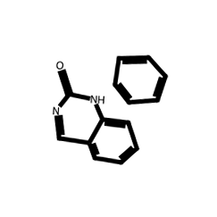 O=c1ncc2ccccc2[nH]1.c1ccccc1